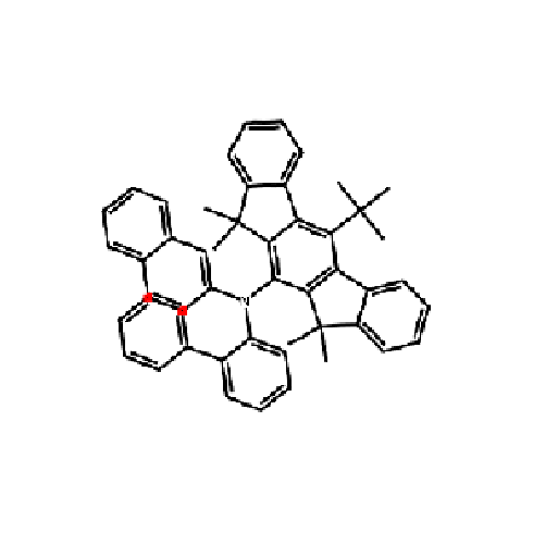 CC(C)(C)c1c2c(c(N(c3ccc4ccccc4c3)c3ccccc3-c3ccccc3)c3c1-c1ccccc1C3(C)C)C(C)(C)c1ccccc1-2